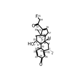 C[C@H]1C[C@@H]2[C@](C)([C@@H](O)C[C@]3(C)C(C(=O)CF)=CC[C@@]23C)[C@@]2(C)C=CC(=O)C=C12